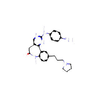 Nc1ccc(Nc2ncc3c(n2)-c2cc(CCCN4CCCC4)ccc2NC(=O)C3)cc1